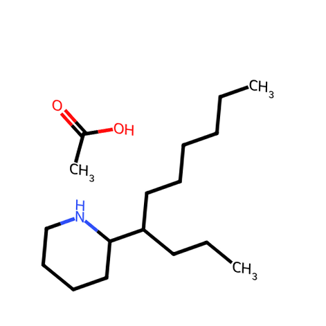 CC(=O)O.CCCCCCC(CCC)C1CCCCN1